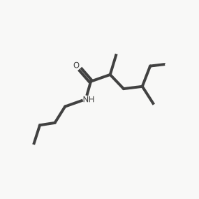 CCCCNC(=O)C(C)CC(C)CC